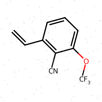 C=Cc1cccc(OC(F)(F)F)c1C#N